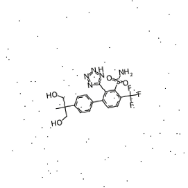 CC(CO)(CO)c1ccc(-c2ccc(C(F)(F)F)c(S(N)(=O)=O)c2-c2nnn[nH]2)cc1